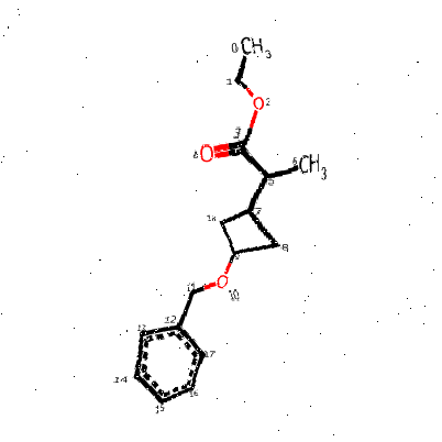 CCOC(=O)C(C)C1CC(OCc2ccccc2)C1